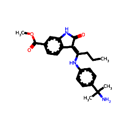 CCCC(Nc1ccc(C(C)(C)N)cc1)=C1C(=O)Nc2cc(C(=O)OC)ccc21